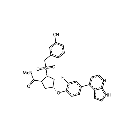 CNC(=O)[C@@H]1C[C@@H](Oc2ccc(-c3ccnc4[nH]ccc34)cc2F)CN1S(=O)(=O)Cc1cccc(C#N)c1